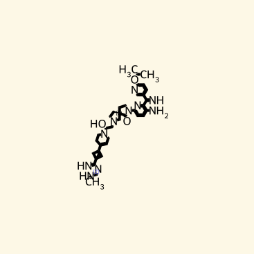 CN/C=N\C(=N)C12CC(C3=CCN(C(O)CN4CC[C@]5(CCN(c6ccc(N)c(C(=N)c7ccc(OC(C)C)nc7)n6)C5=O)C4)CC3)(C1)C2